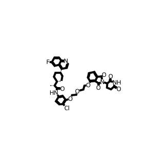 C[C@@H](C(=O)Nc1ccc(Cl)c(OCCOCCOc2cccc3c2C(=O)N(C2CCC(=O)NC2=O)C3=O)c1)[C@H]1CC[C@@H](c2ccnc3ccc(F)cc32)CC1